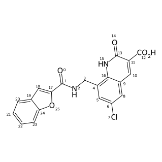 O=C(NCc1cc(Cl)cc2cc(C(=O)O)c(=O)[nH]c12)c1cc2ccccc2o1